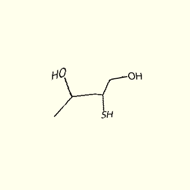 CC(O)C(S)CO